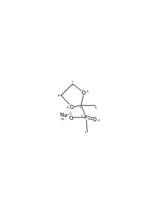 CC1(P(C)(=O)[O-])OCCO1.[Na+]